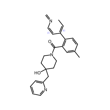 C=N/C=C\C(=C/C)c1ccc(C)cc1C(=O)N1CCC(O)(Cc2ccccn2)CC1